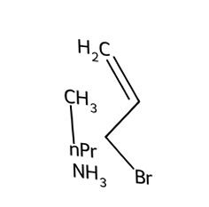 C=CCBr.CCCC.N